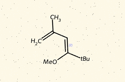 C=C(C)/C=C(\OC)C(C)(C)C